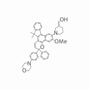 COc1cc2c3c(c4c(c2cc1N1CCCC(=CO)C1)-c1ccccc1C4(C)C)C=CC(c1ccccc1)(c1ccc(N2CCOCC2)cc1)O3